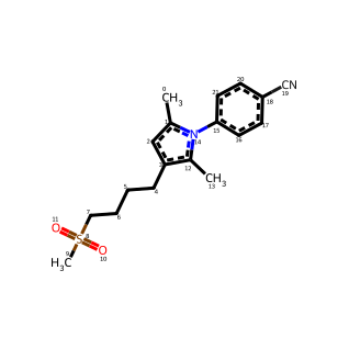 Cc1cc(CCCCS(C)(=O)=O)c(C)n1-c1ccc(C#N)cc1